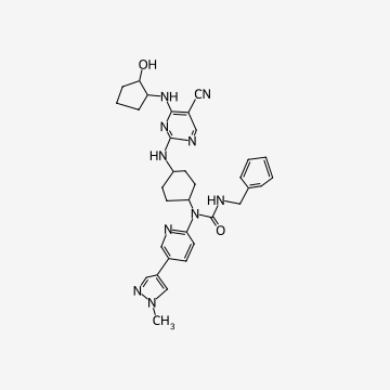 Cn1cc(-c2ccc(N(C(=O)NCc3ccccc3)C3CCC(Nc4ncc(C#N)c(NC5CCCC5O)n4)CC3)nc2)cn1